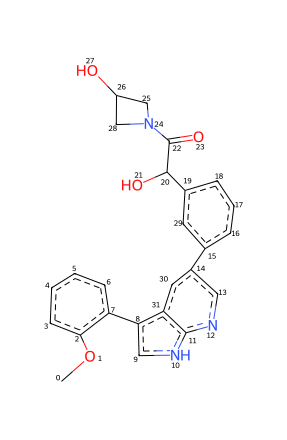 COc1ccccc1-c1c[nH]c2ncc(-c3cccc(C(O)C(=O)N4CC(O)C4)c3)cc12